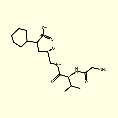 CC(C)[C@H](NC(=O)CN)C(=O)NC[C@H](O)CC(C1CCCCC1)[PH](=O)O